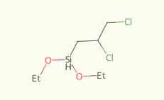 CCO[SiH](CC(Cl)CCl)OCC